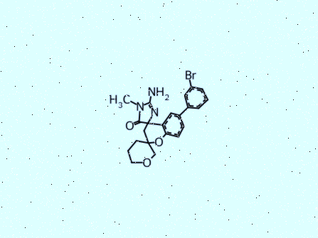 CN1C(=O)C2(CC3(CCCOC3)Oc3ccc(-c4cccc(Br)c4)cc32)N=C1N